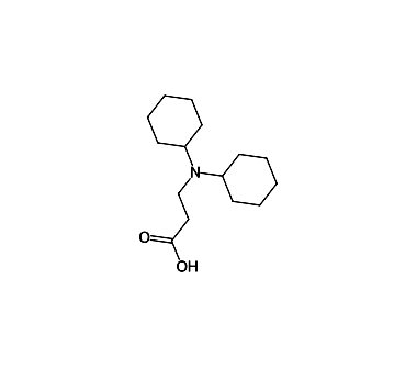 O=C(O)CCN(C1CCCCC1)C1CCCCC1